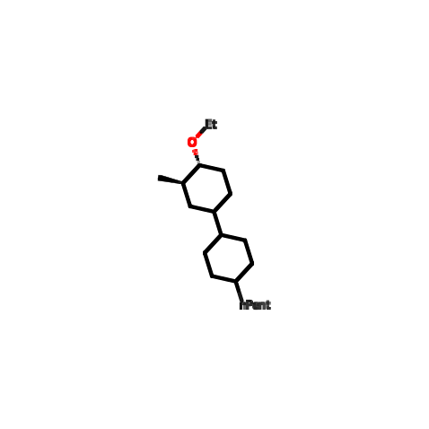 CCCCCC1CCC(C2CC[C@@H](OCC)[C@H](C)C2)CC1